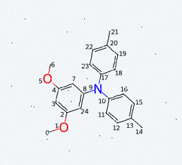 COc1cc(OC)cc(N(c2ccc(C)cc2)c2ccc(C)cc2)c1